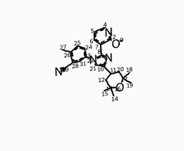 COc1ncccc1-c1nc(C2CC(C)(C)OC(C)(C)C2)cn1-c1ccc(C)c(C#N)c1